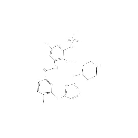 COc1c(NC(=O)c2ccc(C)c(Oc3ccnc(CC4CCNCC4)n3)c2)cc(C(C)(C)C)cc1NS(C)(=O)=O